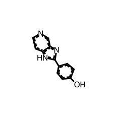 Oc1ccc(-c2nc3cnccc3[nH]2)cc1